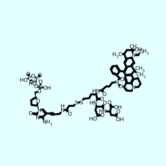 CC[N+]1=c2cc3c(cc2C(C)CC1(C)C)=C(c1ccccc1C(=O)N(C)CCCC(=O)NC(CCCSSCCC(=O)NCC#Cc1cn([C@H]2CC[C@@H](COP(=O)(O)OP(=O)(O)OP(=O)(O)O)O2)c(=O)nc1N)C(=O)NC(CC(=O)O)C(=O)NC(CC(=O)O)C(=O)O)c1cc2c4c(c1C3(C)C)CCCN4CCC2